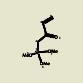 C=CC(=O)C[Si](OC)(OC)OC